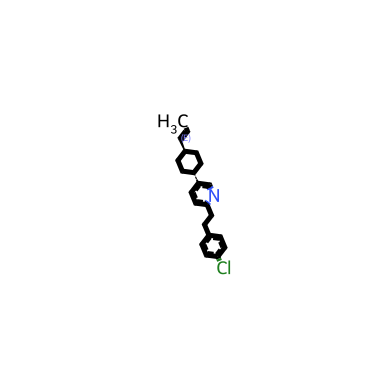 C/C=C/[C@H]1CC[C@H](c2ccc(CCc3ccc(Cl)cc3)nc2)CC1